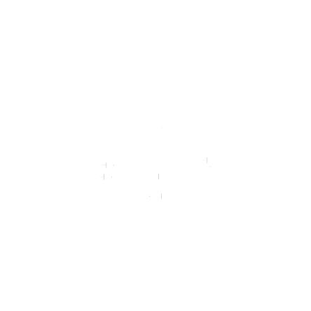 C=CC(=O)O.C=CCOc1ccccc1.OCCO